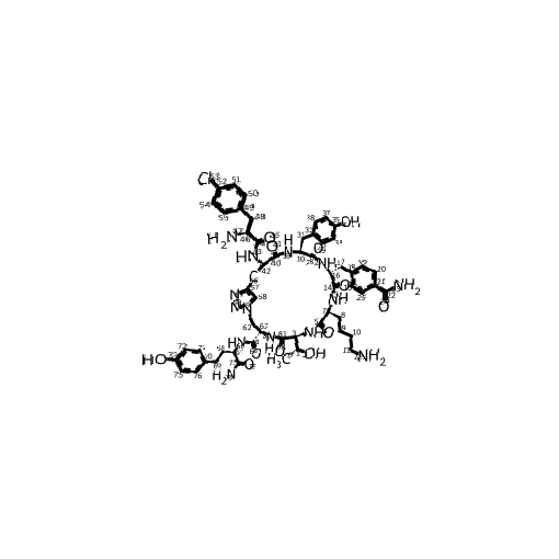 C[C@@H](O)[C@@H]1NC(=O)[C@H](CCCCN)NC(=O)[C@@H](Cc2ccc(C(N)=O)cc2)NC(=O)[C@H](Cc2ccc(O)cc2)NC(=O)[C@H](NC(=O)[C@@H](N)Cc2ccc(Cl)cc2)Cc2cn(nn2)C[C@@H](C(=O)N[C@H](CCc2ccc(O)cc2)C(N)=O)NC1=O